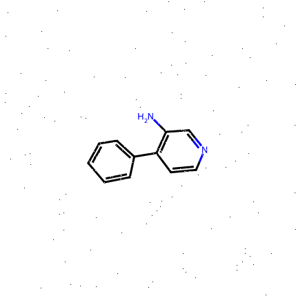 Nc1cnccc1-c1ccccc1